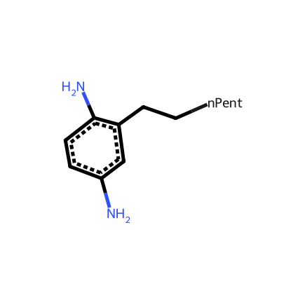 CCCCCCCc1cc(N)ccc1N